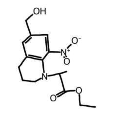 CCOC(=O)C(C)N1CCCc2cc(CO)cc([N+](=O)[O-])c21